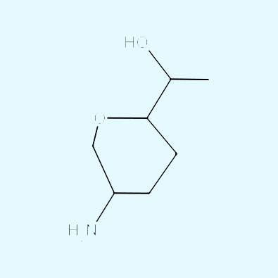 CC(O)C1CCC(N)CO1